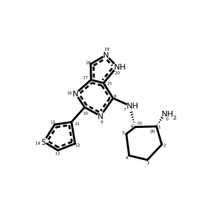 N[C@@H]1CCCC[C@@H]1Nc1nc(-c2ccsc2)nc2cn[nH]c12